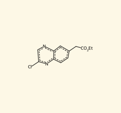 CCOC(=O)Cc1ccc2nc(Cl)cnc2c1